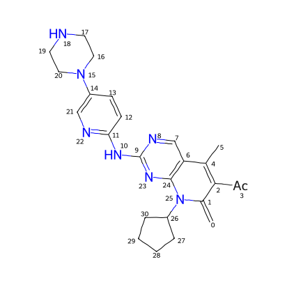 C=C1C(C(C)=O)=C(C)c2cnc(Nc3ccc(N4CCNCC4)cn3)nc2N1C1CCCC1